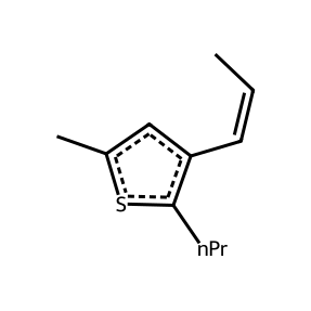 C/C=C\c1cc(C)sc1CCC